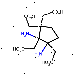 NC1(CC(=O)O)CCC(CC(=O)O)(CC(=O)O)C1(N)CC(=O)O